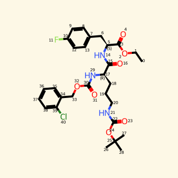 CCOC(=O)[C@H](Cc1ccc(F)cc1)NC(=O)[C@@H](CCCNC(=O)OC(C)(C)C)NC(=O)OCc1ccccc1Cl